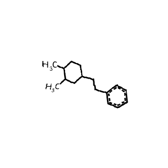 CC1CCC(CCc2ccccc2)CC1C